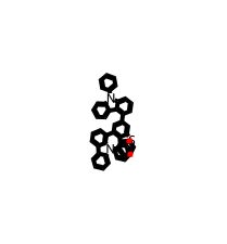 c1ccc(-n2c3ccccc3c3c(-c4cc(-c5cccc6c7ccccc7n(-c7ccccc7)c56)c5c(c4)sc4ccccc45)cccc32)cc1